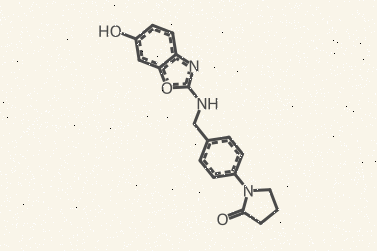 O=C1CCCN1c1ccc(CNc2nc3ccc(O)cc3o2)cc1